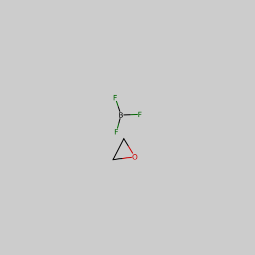 C1CO1.FB(F)F